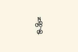 CN1CCC2(CC1)CC(=O)c1cc(C=CC(=O)OC(C)(C)C)ccc1O2